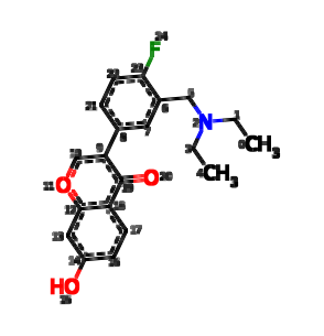 CCN(CC)Cc1cc(-c2coc3cc(O)ccc3c2=O)ccc1F